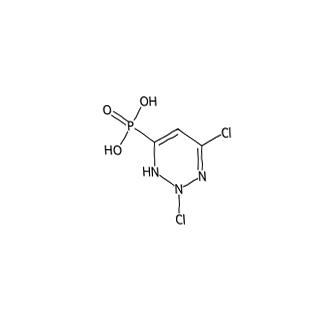 O=P(O)(O)C1=CC(Cl)=NN(Cl)N1